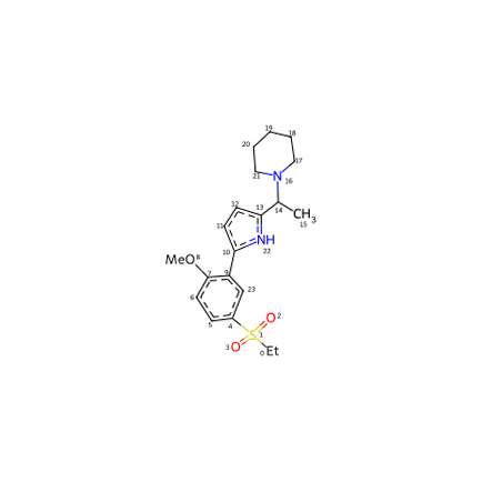 CCS(=O)(=O)c1ccc(OC)c(-c2ccc(C(C)N3CCCCC3)[nH]2)c1